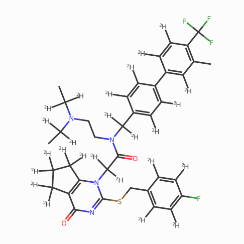 [2H]c1c([2H])c(CSc2nc(=O)c3c(n2C([2H])([2H])C(=O)N(CCN(C([2H])([2H])C)C([2H])([2H])C)C([2H])([2H])c2c([2H])c([2H])c(-c4c([2H])c([2H])c(C(F)(F)F)c(C)c4[2H])c([2H])c2[2H])C([2H])([2H])C([2H])([2H])C3([2H])[2H])c([2H])c([2H])c1F